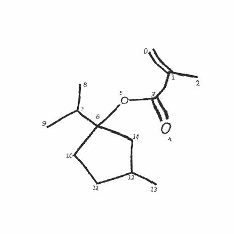 C=C(C)C(=O)OC1(C(C)C)CCC(C)C1